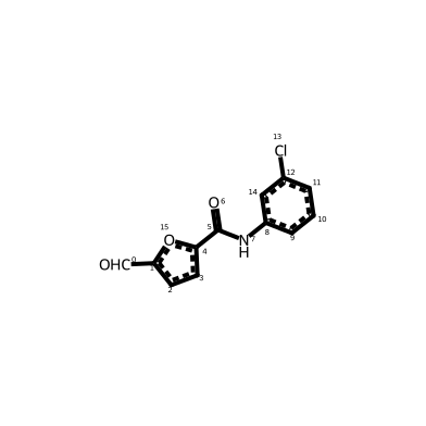 O=Cc1ccc(C(=O)Nc2cccc(Cl)c2)o1